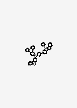 c1ccc(-c2ccc(N(c3ccc(-c4ccc5c6ccc7ccccc7c6n(-c6ccccc6)c5c4)cc3)c3ccc4oc5ccccc5c4c3)cc2-c2ccccc2)cc1